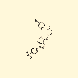 CS(=O)(=O)c1ccc(-n2ncc3c(OC4CCNC(c5ccc(Br)cn5)C4)ncnc32)cc1